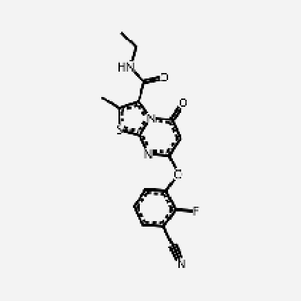 CCNC(=O)c1c(C)sc2nc(Oc3cccc(C#N)c3F)cc(=O)n12